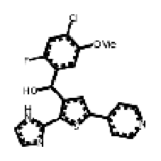 COc1cc(C(O)c2cc(-c3ccncc3)sc2-c2ncc[nH]2)c(F)cc1Cl